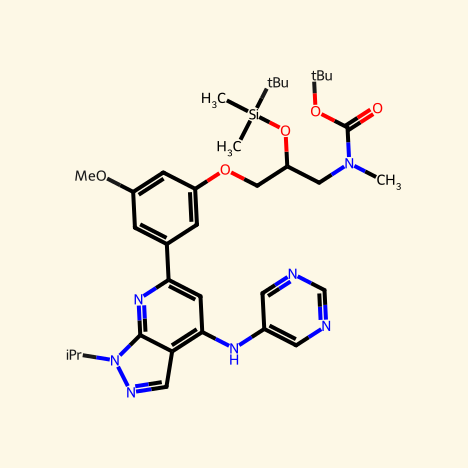 COc1cc(OCC(CN(C)C(=O)OC(C)(C)C)O[Si](C)(C)C(C)(C)C)cc(-c2cc(Nc3cncnc3)c3cnn(C(C)C)c3n2)c1